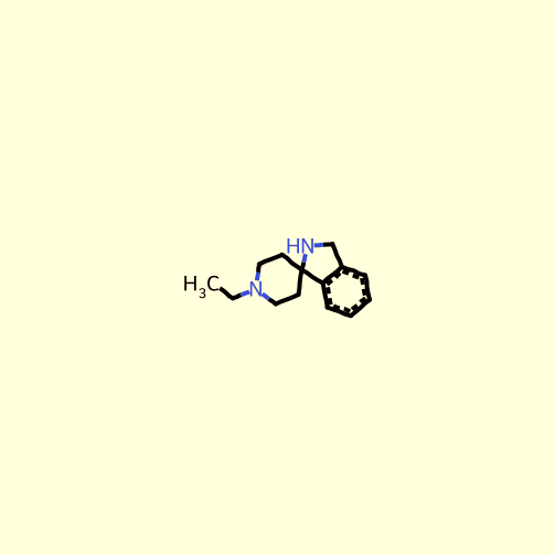 CCN1CCC2(CC1)NCc1ccccc12